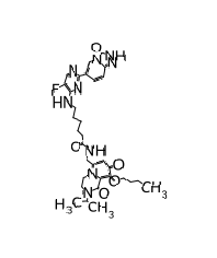 CCCCOc1c2n(c(CNC(=O)CCCCCNc3nc(-c4ccc5n[nH]c(=O)n5c4)ncc3F)cc1=O)CCN(C(C)C)C2=O